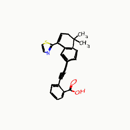 CC1(C)CC=C(c2nccs2)c2cc(C#Cc3ccccc3C(=O)O)ccc21